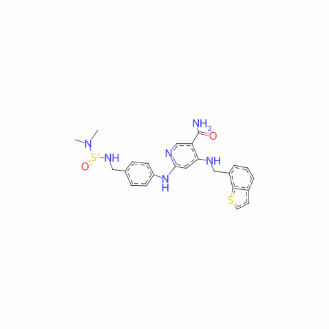 CN(C)[S+]([O-])NCc1ccc(Nc2cc(NCc3cccc4ccsc34)c(C(N)=O)cn2)cc1